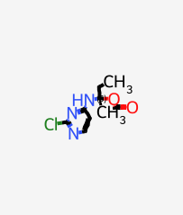 CC[C@@](C)(Nc1ccnc(Cl)n1)OC=O